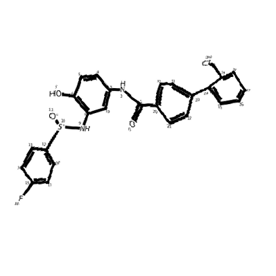 O=C(Nc1ccc(O)c(N[S+]([O-])c2ccc(F)cc2)c1)c1ccc(-c2ccccc2Cl)cc1